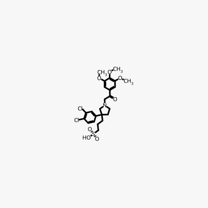 COc1cc(C(=O)CN2CCC(CCCS(=O)(=O)O)(c3ccc(Cl)c(Cl)c3)C2)cc(OC)c1OC